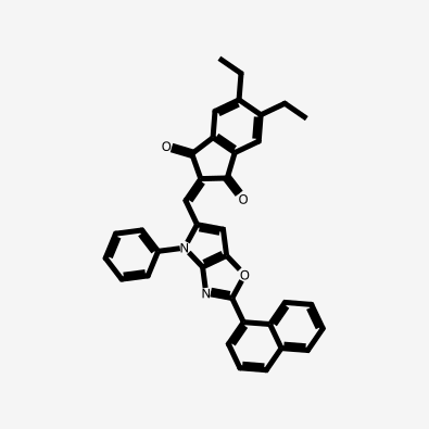 CCc1cc2c(cc1CC)C(=O)C(=Cc1cc3oc(-c4cccc5ccccc45)nc3n1-c1ccccc1)C2=O